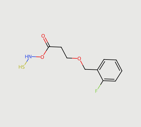 O=C(CCOCc1ccccc1F)ONS